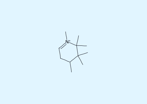 CC1CC=[N+](C)C(C)(C)C1(C)C